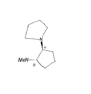 CN[C@H]1CCC[C@@H]1N1CCCC1